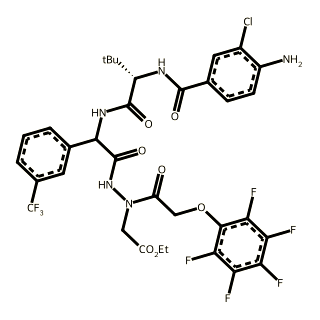 CCOC(=O)CN(NC(=O)C(NC(=O)[C@@H](NC(=O)c1ccc(N)c(Cl)c1)C(C)(C)C)c1cccc(C(F)(F)F)c1)C(=O)COc1c(F)c(F)c(F)c(F)c1F